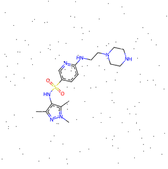 Cc1nn(C)c(C)c1NS(=O)(=O)c1ccc(NCCN2CCNCC2)nc1